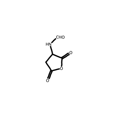 O=CNC1CC(=O)OC1=O